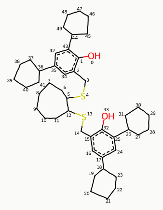 Oc1c(CSC2CCCCCCC2SCc2cc(C3CCCCC3)cc(C3CCCCC3)c2O)cc(C2CCCCC2)cc1C1CCCCC1